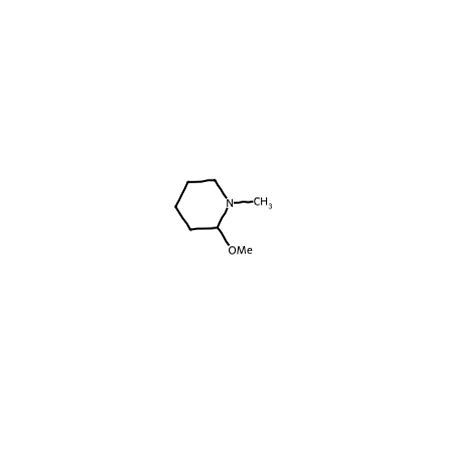 COC1CCCCN1C